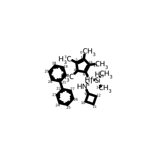 CC1=C(C)C(C)[C]([Hf]([NH]C2CCC2)[SiH](C)C)=C1C.c1ccc(-c2ccccc2)cc1